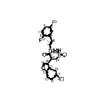 O=C(N/C=C/c1cc(F)ccc1F)C(C[PH](=O)O)c1csc2ccc(Cl)cc12